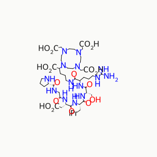 CC(C)C[C@H](NC(=O)[C@H](CC(=O)O)NC(=O)CNC(=O)[C@@H]1CCCN1)C(=O)N[C@@H](CO)C(=O)NC(CCCNC(=N)N)C(=O)NCCCC(C(=O)O)N1CCN(CC(=O)O)CCN(CC(=O)O)CCN(CC(=O)O)CC1